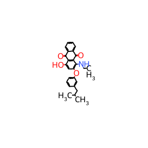 CCNc1c(Oc2cccc(CC(C)C)c2)cc(O)c2c1C(=O)c1ccccc1C2=O